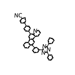 N#Cc1ccc(-c2ccc(-c3cc4c5ccccc5c(-c5cccc(-c6nc(-c7ccccc7)nc(-c7ccccc7)n6)c5)cc4c4cccnc34)cc2)cc1